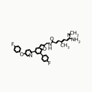 C=N\C(N)=C/C=C(C)/C=C/C(=O)NCc1cc2cc(-c3ccc(Oc4ccc(F)cc4)cn3)cc(-c3ccc(F)cc3)c2o1